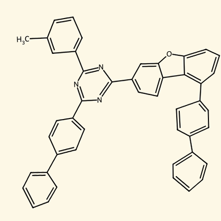 Cc1cccc(-c2nc(-c3ccc(-c4ccccc4)cc3)nc(-c3ccc4c(c3)oc3cccc(-c5ccc(-c6ccccc6)cc5)c34)n2)c1